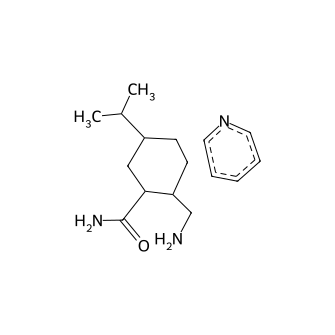 CC(C)C1CCC(CN)C(C(N)=O)C1.c1ccncc1